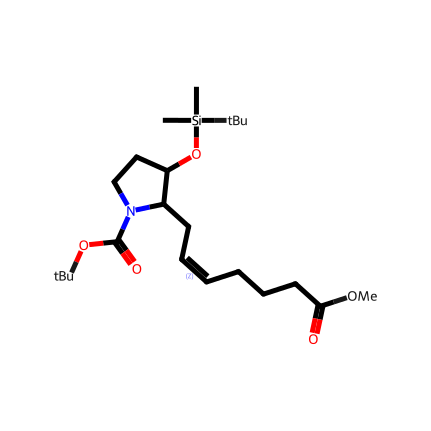 COC(=O)CCC/C=C\CC1C(O[Si](C)(C)C(C)(C)C)CCN1C(=O)OC(C)(C)C